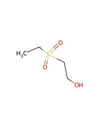 C[CH]S(=O)(=O)CCO